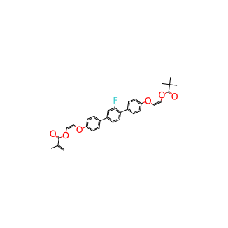 C=C(C)C(=O)O/C=C\Oc1ccc(-c2ccc(-c3ccc(O/C=C\OC(=O)C(C)(C)C)cc3)c(F)c2)cc1